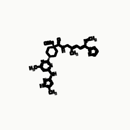 C=N/C(=C\C=C(/C)CNC(=O)[C@]1(OC)CC[C@@H](c2nc(C)cc(Nc3cc(C)[nH]n3)n2)CC1)n1cccn1